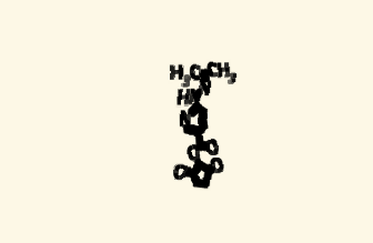 CC(C)=NNc1ccc(C(=O)OC2C(=O)CCC2=O)cn1